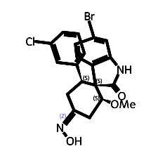 CO[C@H]1C/C(=N\O)C[C@@H](c2cccc(Cl)c2)[C@@]12C(=O)Nc1cc(Br)ccc12